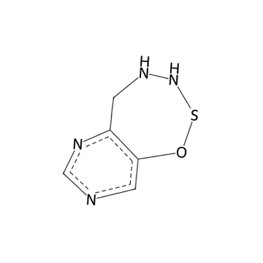 c1ncc2c(n1)CNNSO2